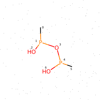 CP(O)OP(C)O